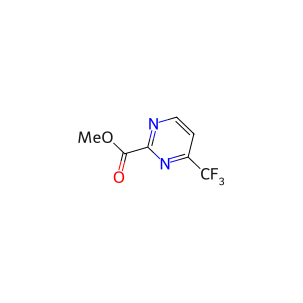 COC(=O)c1nccc(C(F)(F)F)n1